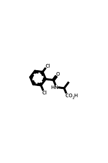 CC(NC(=O)c1c(Cl)cccc1Cl)C(=O)O